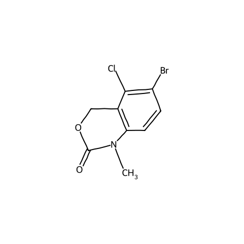 CN1C(=O)OCc2c1ccc(Br)c2Cl